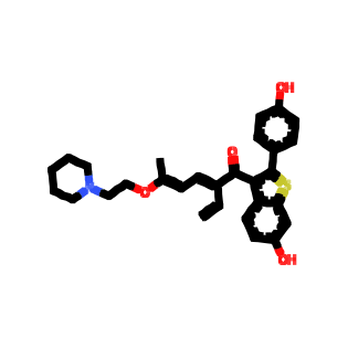 C=C/C(=C\C=C(/C)OCCN1CCCCC1)C(=O)c1c(-c2ccc(O)cc2)sc2cc(O)ccc12